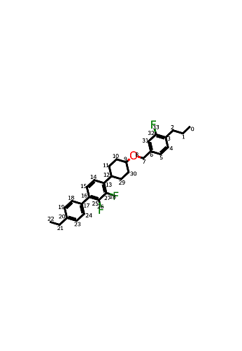 CCCc1ccc(COC2CCC(c3ccc(-c4ccc(CC)cc4)c(F)c3F)CC2)cc1F